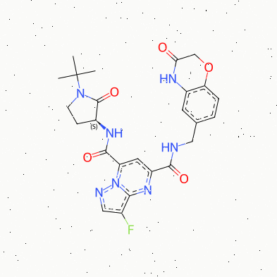 CC(C)(C)N1CC[C@H](NC(=O)c2cc(C(=O)NCc3ccc4c(c3)NC(=O)CO4)nc3c(F)cnn23)C1=O